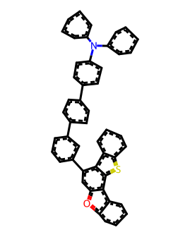 c1ccc(N(c2ccccc2)c2ccc(-c3ccc(-c4cccc(-c5cc6oc7ccccc7c6c6sc7ccccc7c56)c4)cc3)cc2)cc1